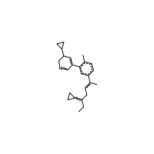 CCC(C/C=C(\C)c1ccc(C)c(C2=CC(C3CC3)CN=C2)c1)=C1CC1